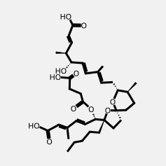 CCCCC[C@]1([C@H](/C=C/C(C)=C/C(=O)O)OC(=O)CCC(=O)O)CC[C@]2(CC[C@H](C)[C@@H](C/C=C(C)/C=C/[C@H](O)[C@@H](C)/C=C/C(=O)O)O2)O1